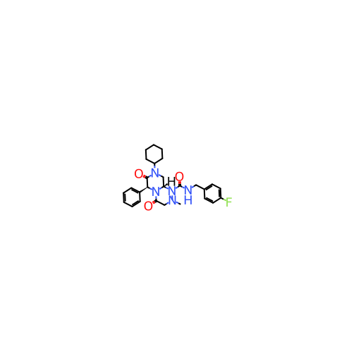 CN1CC(=O)N2[C@@H](c3ccccc3)C(=O)N(C3CCCCC3)C[C@@H]2N1C(=O)NCc1ccc(F)cc1